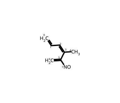 C=C/C=C(/C)C(=C)N=O